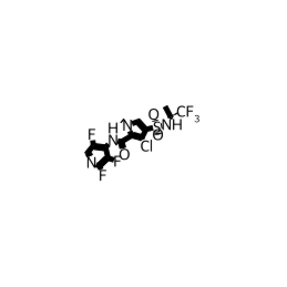 C[C@@H](NS(=O)(=O)c1cn(C)c(C(=O)Nc2c(F)cnc(F)c2F)c1Cl)C(F)(F)F